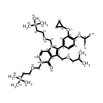 CC(C)COCc1c(-c2ccc(OC(F)F)c(OC3CC3)c2)n(COCC[Si](C)(C)C)c2cnn(COCC[Si](C)(C)C)c(=O)c12